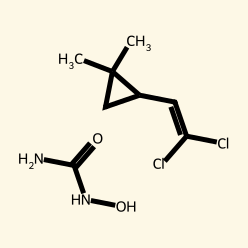 CC1(C)CC1C=C(Cl)Cl.NC(=O)NO